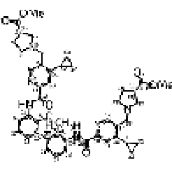 COC(=O)[C@@H]1CCN(Cc2cnc(C(=O)Nc3cccc(-c4cccc(NC(=O)c5cc(C6CC6)c(CN6CC[C@@H](C(=O)OC)C6)cn5)c4C)c3C)cc2C2CC2)C1